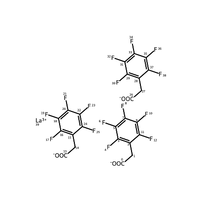 O=C([O-])Cc1c(F)c(F)c(F)c(F)c1F.O=C([O-])Cc1c(F)c(F)c(F)c(F)c1F.O=C([O-])Cc1c(F)c(F)c(F)c(F)c1F.[La+3]